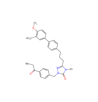 CCn1c(CCCc2ccc(-c3ccc(OC(F)(F)F)c(C(=O)O)c3)cc2)nn(Cc2ccc(C(=O)CC(C)(C)C)cc2)c1=O